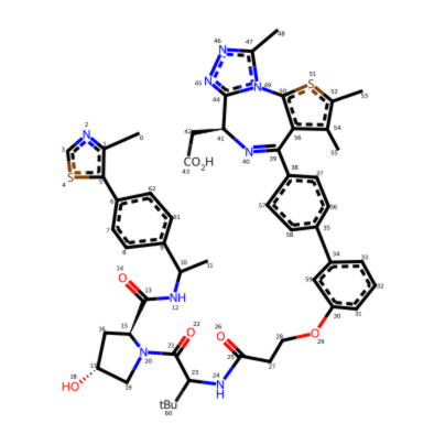 Cc1ncsc1-c1ccc(C(C)NC(=O)[C@@H]2C[C@@H](O)CN2C(=O)C(NC(=O)CCOc2cccc(-c3ccc(C4=N[C@@H](CC(=O)O)c5nnc(C)n5-c5sc(C)c(C)c54)cc3)c2)C(C)(C)C)cc1